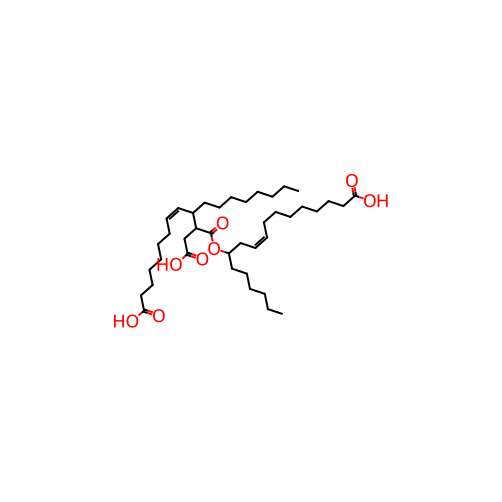 CCCCCCCCC(/C=C\CCCCCCC(=O)O)C(CC(=O)O)C(=O)OC(C/C=C\CCCCCCCC(=O)O)CCCCCC